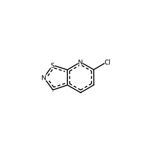 Clc1ccc2[c]nsc2n1